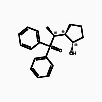 C[C@@H]([C@H]1CCC[C@@H]1O)P(=O)(c1ccccc1)c1ccccc1